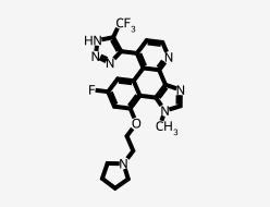 Cn1cnc2c3nccc(-c4nn[nH]c4C(F)(F)F)c3c3cc(F)cc(OCCN4CCCC4)c3c21